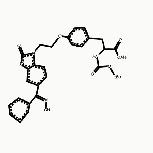 COC(=O)C(Cc1ccc(OCCn2c(=O)sc3cc(C(=NO)c4ccccc4)ccc32)cc1)NC(=O)OC(C)(C)C